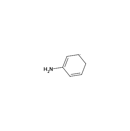 NC1=C[CH]CC=C1